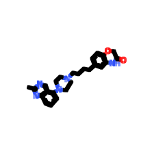 Cc1ncc2c(N3CCN(CCCCc4ccc5c(c4)NC(=O)CO5)CC3)cccc2n1